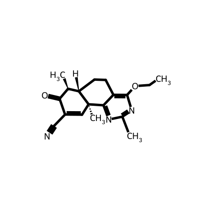 CCOc1nc(C)nc2c1CC[C@H]1[C@H](C)C(=O)C(C#N)=C[C@]21C